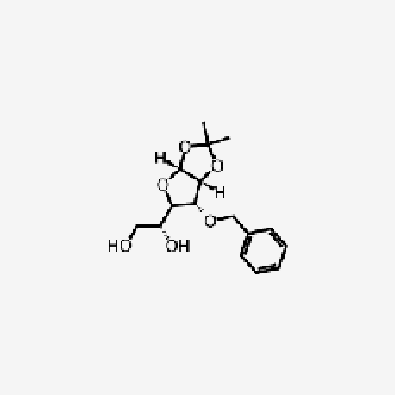 CC1(C)O[C@H]2OC([C@H](O)CO)[C@@H](OCc3ccccc3)[C@H]2O1